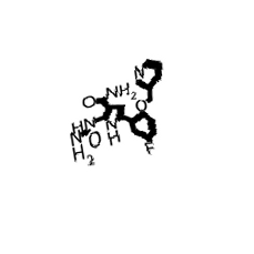 NC(=O)Nc1[nH]c(-c2cc(F)ccc2OCc2cccnc2)cc1C(N)=O